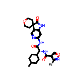 CCc1nocc1C(=O)N[C@H](C(=O)Nc1cc2c(cn1)C1(CCOCC1)C(=O)N2)C1CCC(C)CC1